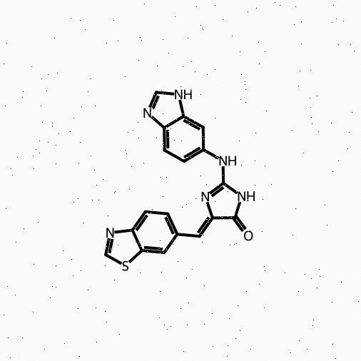 O=C1NC(Nc2ccc3nc[nH]c3c2)=N/C1=C\c1ccc2ncsc2c1